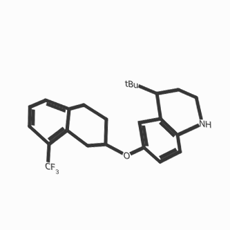 CC(C)(C)C1CCNc2ccc(OC3CCc4cccc(C(F)(F)F)c4C3)cc21